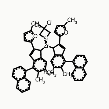 Cc1ccc(C2=Cc3c(cc(C)c(C)c3-c3cccc4ccccc34)[CH]2[Zr]([CH]2C(c3ccc(C)o3)=Cc3c2cc(C)c(C)c3-c2cccc3ccccc23)=[Si]2CC(Cl)(Cl)C2)o1